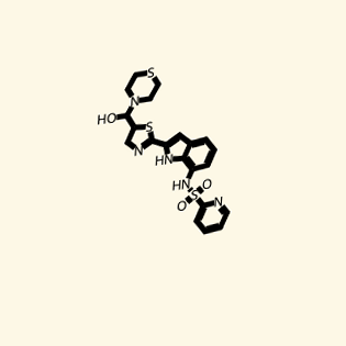 O=S(=O)(Nc1cccc2cc(C3=NCC(C(O)N4CCSCC4)S3)[nH]c12)c1ccccn1